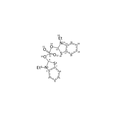 CCN1c2ccccc2SC1OS(=O)(=O)OC1Sc2ccccc2N1CC